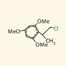 COc1cc(OC)c(C(C)CCl)c(OC)c1